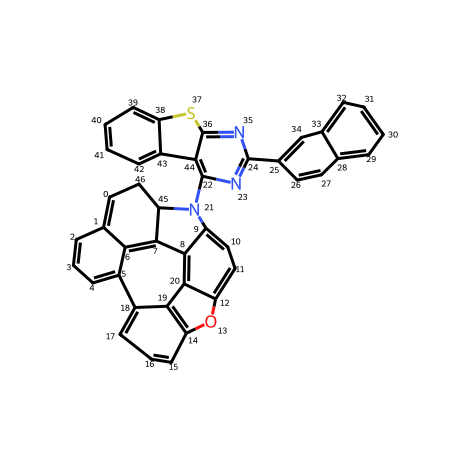 C1=c2cccc3c2=C2c4c(ccc5oc6cccc-3c6c45)N(c3nc(-c4ccc5ccccc5c4)nc4sc5ccccc5c34)C2C1